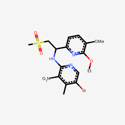 CCOc1nc(C(CS(C)(=O)=O)Nc2ncc(Br)c(C)c2[N+](=O)[O-])ccc1OC